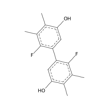 Cc1c(O)cc(-c2cc(O)c(C)c(C)c2F)c(F)c1C